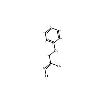 ClC=C(Cl)COc1cc[c]cc1